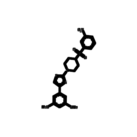 COc1cc(OC)cc(-c2csc(N3CCC(S(=O)(=O)c4cccc([N+](=O)[O-])c4)CC3)n2)c1